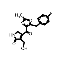 Cc1nc(C(=O)C2=C(CO)C(=O)NC2)c(Cc2ccc(F)cc2)o1